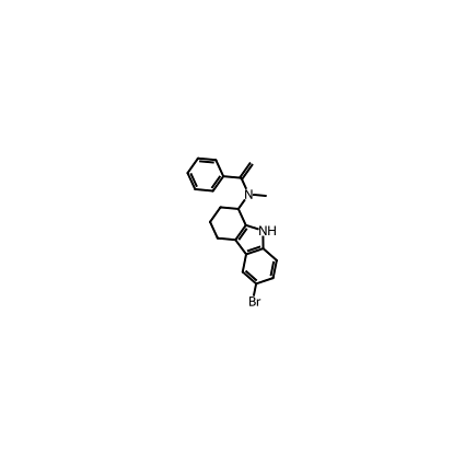 C=C(c1ccccc1)N(C)C1CCCc2c1[nH]c1ccc(Br)cc21